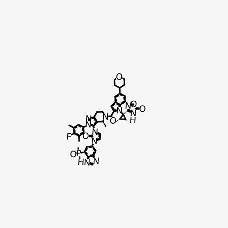 Cc1cc(-n2nc3c(c2-n2ccn(-c4cc(P(C)(C)=O)c5[nH]cnc5c4)c2=O)[C@H](C)N(C(=O)c2cc4cc(C5CCOCC5)ccc4n2[C@@]2(c4noc(=O)[nH]4)C[C@@H]2C)CC3)cc(C)c1F